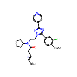 CCCC/C=C/CC(=O)N(CCn1nc(-c2ccncc2)nc1-c1ccc(OC)c(Cl)c1)C1CCCC1